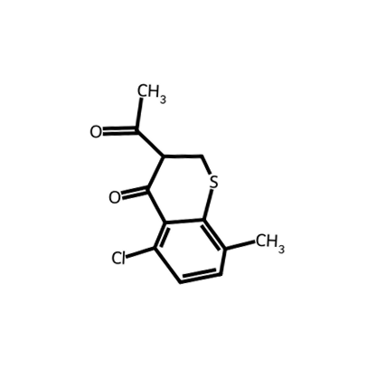 CC(=O)C1CSc2c(C)ccc(Cl)c2C1=O